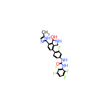 Cc1cnc(-c2ccc(-c3ccc(NC(=O)Nc4c(F)c(F)cc(F)c4F)cc3F)c3c2C(O)NC3)[nH]1